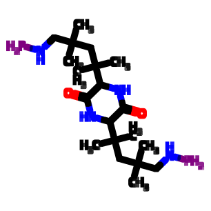 CC(C)(CNP)CC(C)(C)C1NC(=O)C(C(C)(C)CC(C)(C)CNP)NC1=O